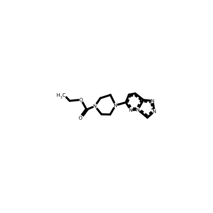 CCOC(=O)N1CCN(c2ccc3nncn3n2)CC1